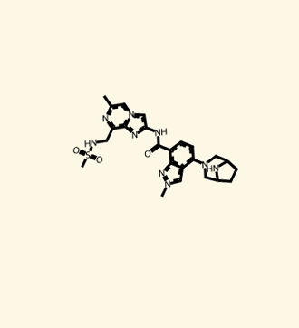 Cc1cn2cc(NC(=O)c3ccc(N4CC5CCC(C4)N5)c4cn(C)nc34)nc2c(CNS(C)(=O)=O)n1